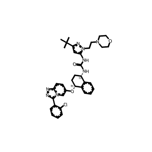 CC(C)(C)c1cc(NC(=O)N[C@H]2CC[C@@H](Oc3ccc4nnc(-c5ccccc5Cl)n4c3)c3ccccc32)n(CCN2CCOCC2)n1